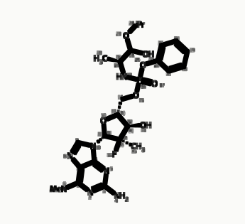 CNc1nc(N)nc2c1ncn2[C@@H]1O[C@H](COP(=O)(N[C@@H](C)C(O)OC(C)C)Oc2ccccc2)[C@@H](O)[C@@]1(C)F